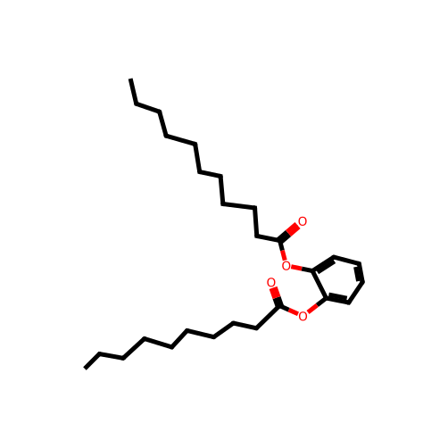 CCCCCCCCCCC(=O)Oc1ccccc1OC(=O)CCCCCCCCC